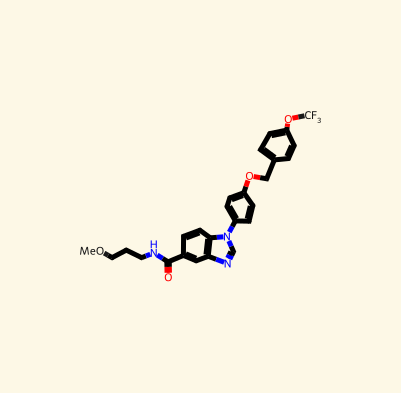 COCCCNC(=O)c1ccc2c(c1)ncn2-c1ccc(OCc2ccc(OC(F)(F)F)cc2)cc1